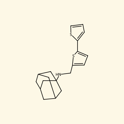 c1csc(-c2ccc(CNC34CC5CC(CC(C5)C3)C4)s2)c1